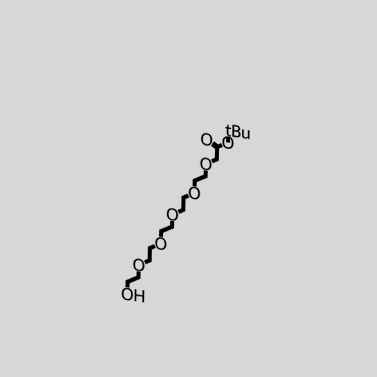 CC(C)(C)OC(=O)COCCOCCOCCOCCOCCO